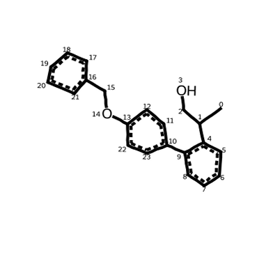 CC(CO)c1ccccc1-c1ccc(OCc2ccccc2)cc1